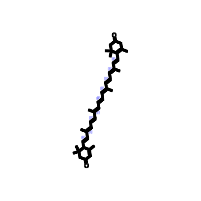 CC1=CC(=O)CC(C)(C)C1/C=C/C(C)=C/C=C/C(C)=C/C=C/C=C(C)/C=C/C=C(C)/C=C/C1=C(C)CC(=O)CC1(C)C